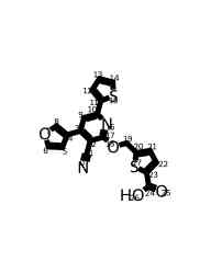 N#Cc1c(-c2ccoc2)cc(-c2cccs2)nc1OCc1ccc(C(=O)O)s1